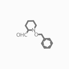 O=CC1CCCCN1OCc1ccccc1